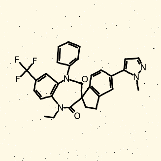 CCN1C(=O)C2(CCc3cc(-c4ccnn4C)ccc32)C(=O)N(c2ccccc2)c2cc(C(F)(F)F)ccc21